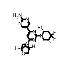 CC[C@@H]1CC(F)(F)[C@H](C)CN1c1nc(-c2cnc(N)nc2)cc(N2C[C@@H]3C[C@H]2CO3)n1